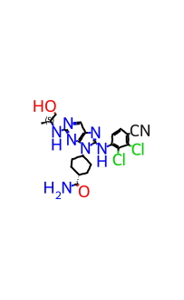 C[C@@H](CO)Nc1ncc2nc(Nc3ccc(C#N)c(Cl)c3Cl)n([C@H]3CC[C@@H](C(N)=O)CC3)c2n1